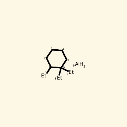 CCC1CCCCC1(CC)CC.[AlH3]